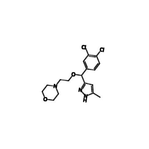 Cc1cc(C(OCCN2CCOCC2)c2ccc(Cl)c(Cl)c2)n[nH]1